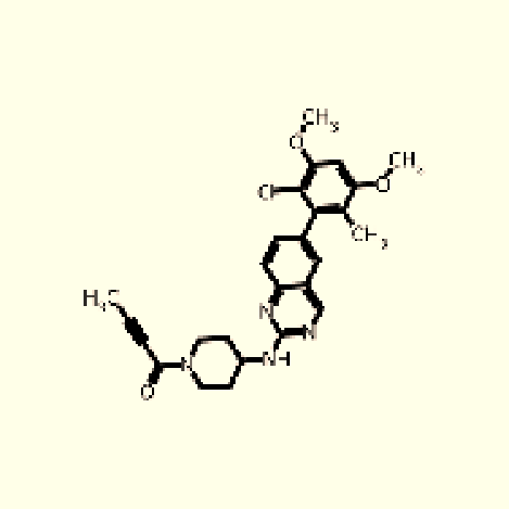 CC#CC(=O)N1CCC(Nc2ncc3cc(-c4c(C)c(OC)cc(OC)c4Cl)ccc3n2)CC1